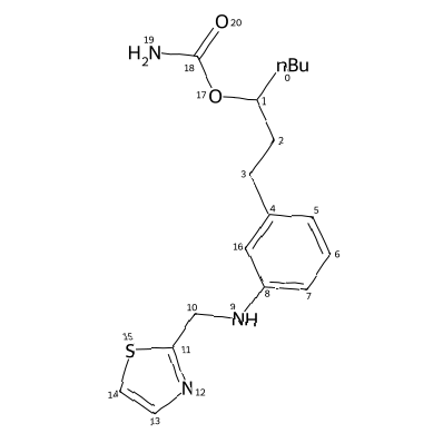 CCCCC(CCc1cccc(NCc2nccs2)c1)OC(N)=O